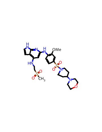 COc1cc(S(=O)(=O)N2CCC(N3CCOCC3)CC2)ccc1Nc1cc(NCCS(C)(=O)=O)c2cc[nH]c2n1